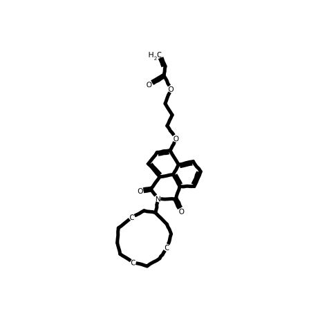 C=CC(=O)OCCCOc1ccc2c3c(cccc13)C(=O)N(C1CCCCCCCCCCC1)C2=O